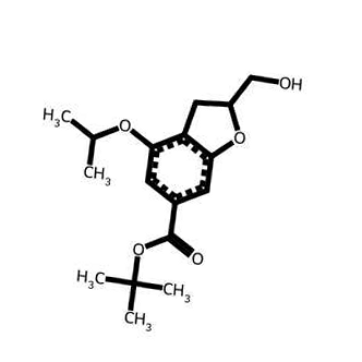 CC(C)Oc1cc(C(=O)OC(C)(C)C)cc2c1CC(CO)O2